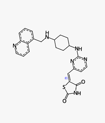 O=C1NC(=O)/C(=C\c2ccnc(NC3CCC(NCc4cccc5ncccc45)CC3)n2)S1